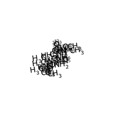 CC[C@H](C)[C@H](NC(=O)C[C@H](N)[C@H](Cc1ccccc1)NC(=O)C(NC(=O)[C@H](Cc1ccccc1)NC(=O)CC(C)C)C(C)C)C(=O)NC(C(=O)OC)C(C)C